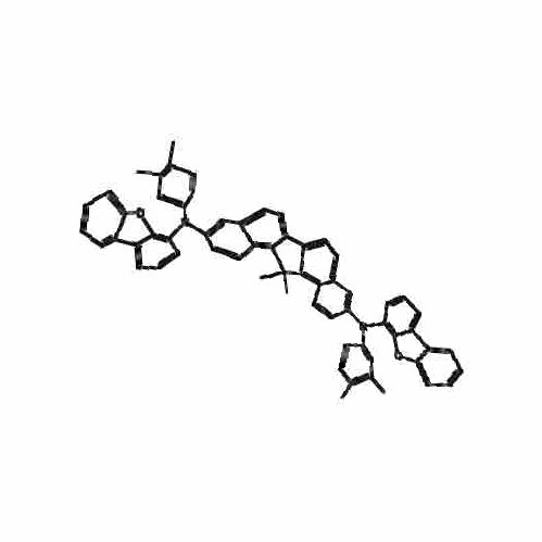 Cc1ccc(N(c2ccc3c4c(ccc3c2)-c2ccc3cc(N(c5ccc(C)c(C)c5)c5cccc6c5oc5ccccc56)ccc3c2C4(C)C)c2cccc3c2oc2ccccc23)cc1C